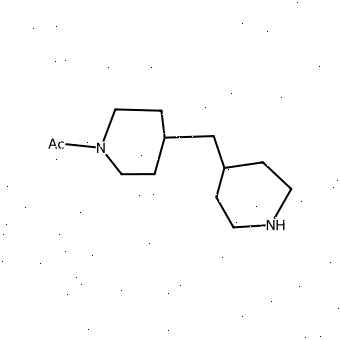 CC(=O)N1CCC(CC2CCNCC2)CC1